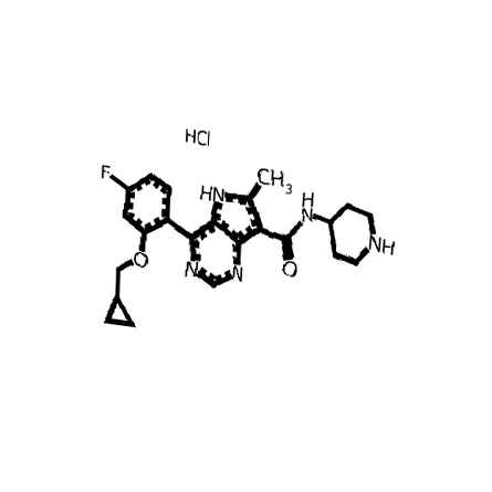 Cc1[nH]c2c(-c3ccc(F)cc3OCC3CC3)ncnc2c1C(=O)NC1CCNCC1.Cl